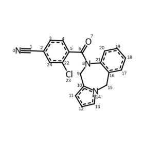 N#Cc1ccc(C(=O)N2Cc3cccn3Cc3ccccc32)c(Cl)c1